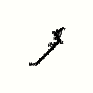 CCCOCCC(=O)NC(C(=O)NCC(=O)Nc1ccc(CC)c(COC/C(N)=C/N(N)CCOCCOCCOCCOCCOCCOCCOCCOC)c1)C(C)C